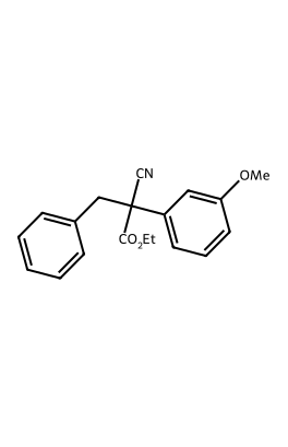 CCOC(=O)C(C#N)(Cc1ccccc1)c1cccc(OC)c1